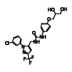 O=C(NCc1cc(C(F)(F)F)nn1-c1cccc(Cl)c1)Nc1ccc(OCC(O)CO)cc1